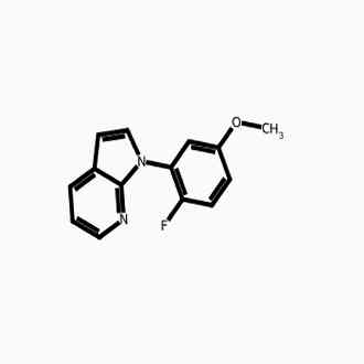 COc1ccc(F)c(-n2ccc3cccnc32)c1